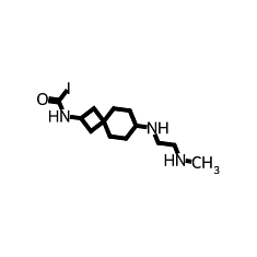 CNCCNC1CCC2(CC1)CC(NC(=O)I)C2